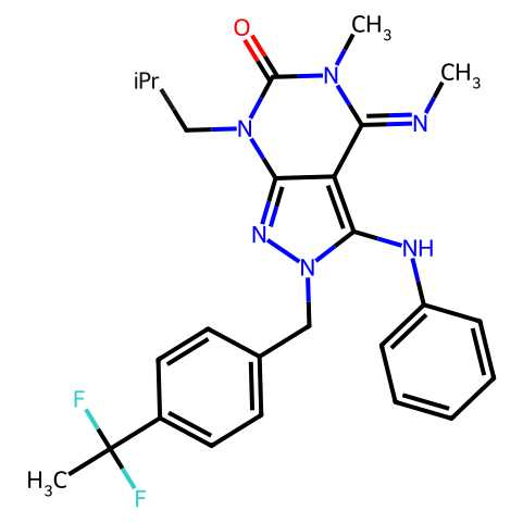 C/N=c1/c2c(Nc3ccccc3)n(Cc3ccc(C(C)(F)F)cc3)nc2n(CC(C)C)c(=O)n1C